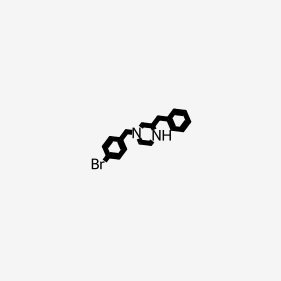 Brc1ccc(CN2CCNC(Cc3ccccc3)C2)cc1